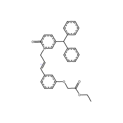 CCOC(=O)COc1cccc(/C=C/Cn2cc(C(c3ccccc3)c3ccccc3)ccc2=O)c1